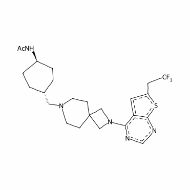 CC(=O)N[C@H]1CC[C@H](CN2CCC3(CC2)CN(c2ncnc4sc(CC(F)(F)F)cc24)C3)CC1